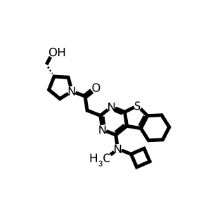 CN(c1nc(CC(=O)N2CC[C@H](CO)C2)nc2sc3c(c12)CCCC3)C1CCC1